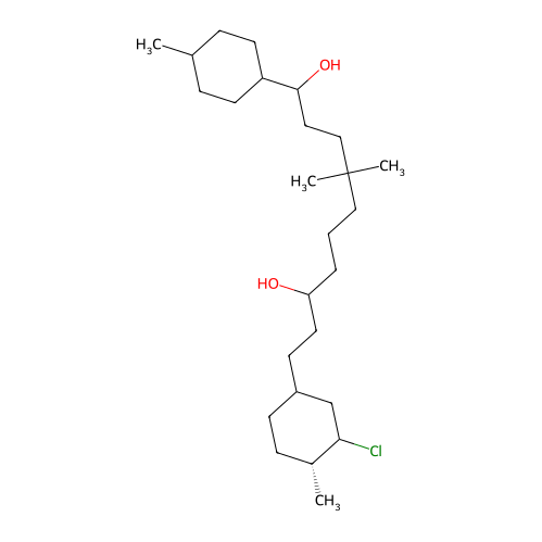 CC1CCC(C(O)CCC(C)(C)CCCC(O)CCC2CC[C@@H](C)C(Cl)C2)CC1